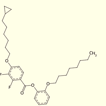 CCCCCCCCOc1ccccc1OC(=O)c1ccc(OCCCCCCC2CC2)c(F)c1F